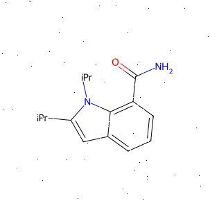 CC(C)c1cc2cccc(C(N)=O)c2n1C(C)C